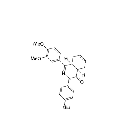 COc1ccc(C2=NN(c3ccc(C(C)(C)C)cc3)C(=O)[C@@H]3CC=CC[C@H]23)cc1OC